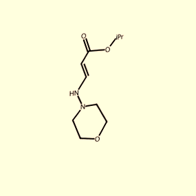 CC(C)OC(=O)C=CNN1CCOCC1